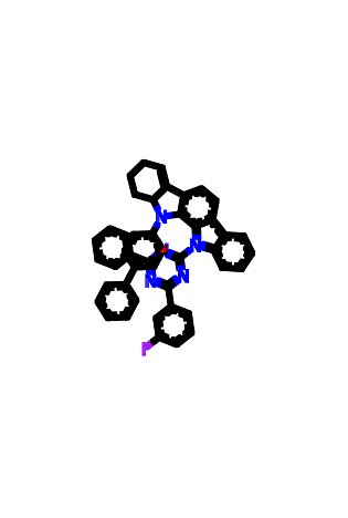 Ic1cccc(-c2nc(-c3ccccc3)nc(-n3c4ccccc4c4ccc5c(c43)N(c3ccc(-c4ccccc4)cc3)C3CCCC=C53)n2)c1